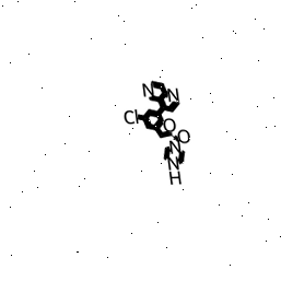 O=C([C@@H]1Cc2cc(Cl)cc(-c3ccnc4ccncc34)c2O1)N1CCNCC1